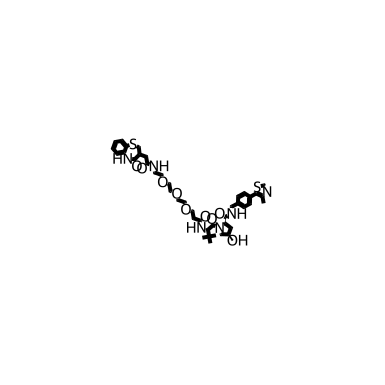 Cc1ncsc1-c1ccc(CNC(=O)[C@@H]2C[C@@H](O)CN2C(=O)[C@@H](NC(=O)CCOCCOCCOCCNC(=O)CC2CSc3ccccc3NC2=O)C(C)(C)C)cc1